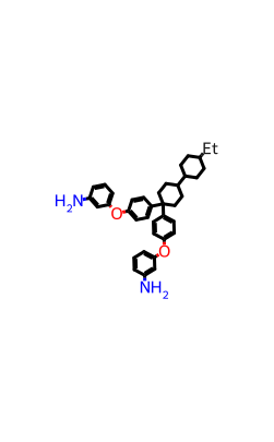 CCC1CCC(C2CCC(c3ccc(Oc4cccc(N)c4)cc3)(c3ccc(Oc4cccc(N)c4)cc3)CC2)CC1